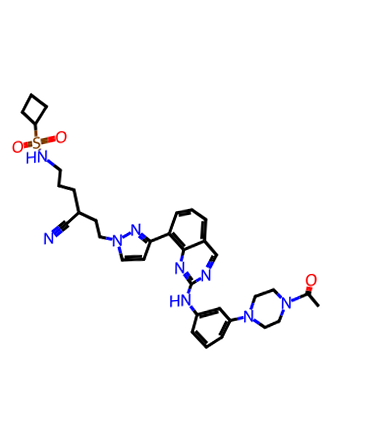 CC(=O)N1CCN(c2cccc(Nc3ncc4cccc(-c5ccn(CCC(C#N)CCCNS(=O)(=O)C6CCC6)n5)c4n3)c2)CC1